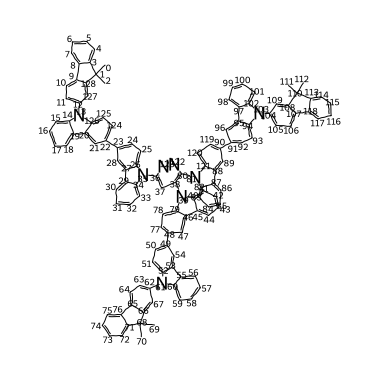 CC1(C)c2ccccc2-c2ccc(-n3c4ccccc4c4cc(-c5ccc6c(c5)c5ccccc5n6-c5cc(-n6c7ccccc7c7cc(-c8ccc9c(c8)c8ccccc8n9-c8ccc9c(c8)C(C)(C)c8ccccc8-9)ccc76)c(-n6c7ccccc7c7cc(-c8ccc9c(c8)c8ccccc8n9-c8ccc9c(c8)C(C)(C)c8ccccc8-9)ccc76)nn5)ccc43)cc21